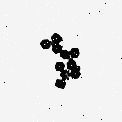 c1ccc(-c2cc(-c3ccccc3)nc(-c3cccc4oc5cc(-n6c7ccccc7c7cc(-c8ccc9c(c8)c8ccccc8n9-c8ccccc8)ccc76)ccc5c34)n2)cc1